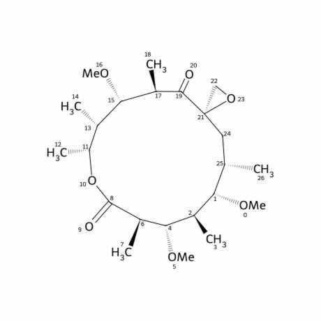 CO[C@@H]1[C@@H](C)[C@H](OC)[C@@H](C)C(=O)O[C@H](C)[C@H](C)[C@H](OC)[C@@H](C)C(=O)[C@]2(CO2)C[C@@H]1C